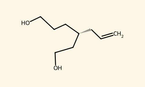 C=CC[C@H](CCO)CCCO